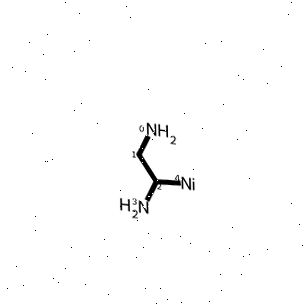 NC[CH](N)[Ni]